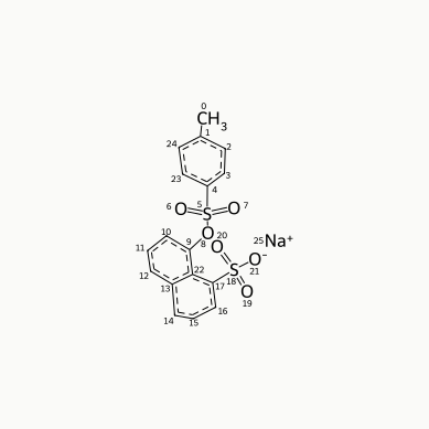 Cc1ccc(S(=O)(=O)Oc2cccc3cccc(S(=O)(=O)[O-])c23)cc1.[Na+]